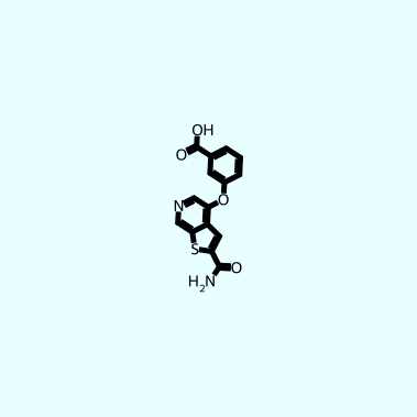 NC(=O)c1cc2c(Oc3cccc(C(=O)O)c3)cncc2s1